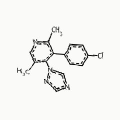 Cc1cnc(C)c(-c2ccc(Cl)cc2)c1-n1cncn1